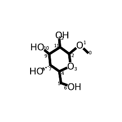 COC1OC(CO)[C@H](O)C(O)C1O